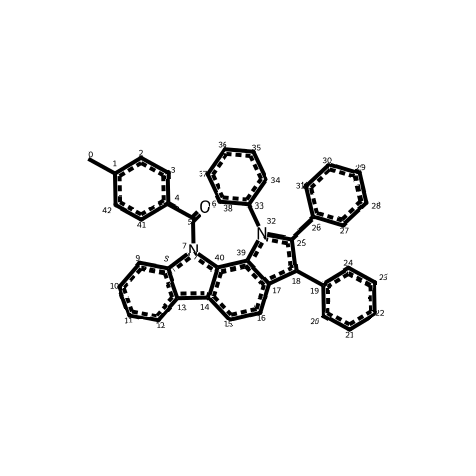 Cc1ccc(C(=O)n2c3ccccc3c3ccc4c(-c5ccccc5)c(-c5ccccc5)n(-c5ccccc5)c4c32)cc1